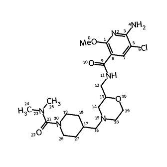 COc1nc(N)c(Cl)cc1C(=O)NCC1CN(CC2CCN(C(=O)N(C)C)CC2)CCO1